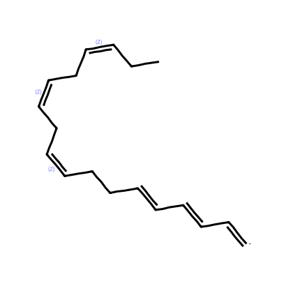 [CH]=CC=CC=CCC/C=C\C/C=C\C/C=C\CC